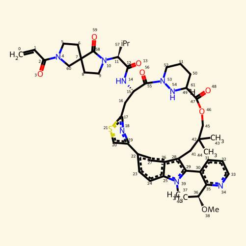 C=CC(=O)N1CCC2(CCN([C@H](C(=O)N[C@H]3Cc4nc(cs4)-c4ccc5c(c4)c(c(-c4cccnc4[C@H](C)OC)n5C)CC(C)(C)COC(=O)[C@@H]4CCCN(N4)C3=O)C(C)C)C2=O)C1